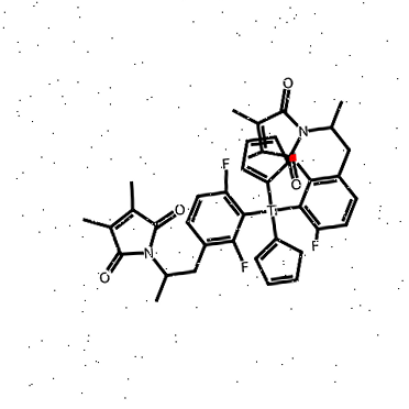 CC1=C(C)C(=O)N(C(C)Cc2ccc(F)[c]([Ti]([C]3=CC=CC3)([C]3=CC=CC3)[c]3c(F)ccc(CC(C)N4C(=O)C(C)=C(C)C4=O)c3F)c2F)C1=O